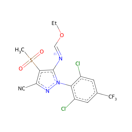 CCO/C=N/c1c(S(C)(=O)=O)c(C#N)nn1-c1c(Cl)cc(C(F)(F)F)cc1Cl